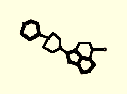 O=C1CCn2c(N3CCN(c4ccncc4)CC3)nc3cccc1c32